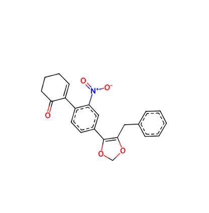 O=C1CCCC=C1c1ccc(C2=C(Cc3ccccc3)OCO2)cc1[N+](=O)[O-]